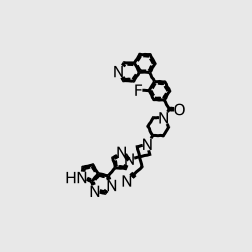 N#CCC1(n2cc(-c3ncnc4[nH]ccc34)cn2)CN(C2CCN(C(=O)c3ccc(-c4cccc5cnccc45)c(F)c3)CC2)C1